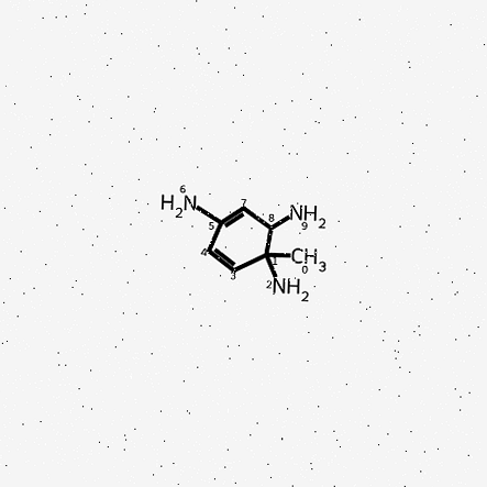 CC1(N)C=CC(N)=CC1N